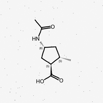 CC(=O)N[C@H]1C[C@H](C(=O)O)[C@@H](C)C1